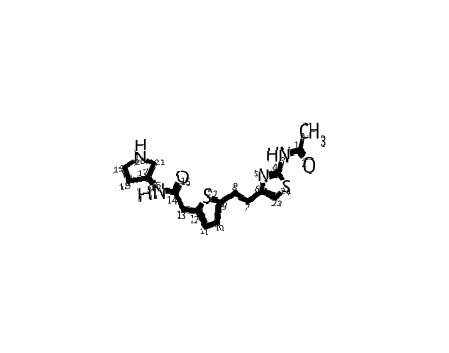 CC(=O)Nc1nc(CCc2ccc(CC(=O)NC3CCNC3)s2)cs1